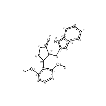 COc1cccc(OC)c1C1SCC(=O)N1Cc1cc2ccccc2[nH]1